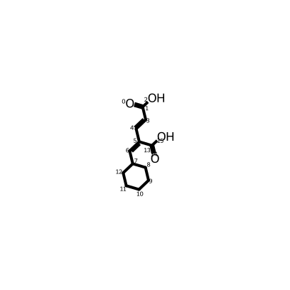 O=C(O)C=CC(=CC1CCCCC1)C(=O)O